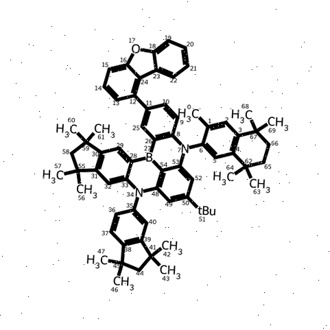 Cc1cc2c(cc1N1c3ccc(-c4cccc5oc6ccccc6c45)cc3B3c4cc5c(cc4N(c4ccc6c(c4)C(C)(C)CC6(C)C)c4cc(C(C)(C)C)cc1c43)C(C)(C)CC5(C)C)C(C)(C)CCC2(C)C